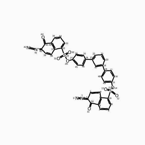 [N-]=[N+]=C1C=Cc2c(cccc2S(=O)(=O)Oc2ccc(-c3cccc(-c4ccc(OS(=O)(=O)c5cccc6c5C=CC(=[N+]=[N-])C6=O)cc4)c3)cc2)C1=O